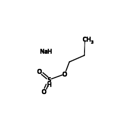 CCCO[SH](=O)=O.[NaH]